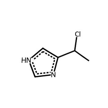 CC(Cl)c1c[nH]cn1